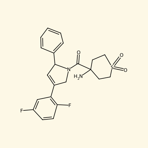 NC1(C(=O)N2CC(c3cc(F)ccc3F)=CC2c2ccccc2)CCS(=O)(=O)CC1